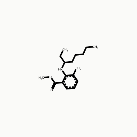 CCCCCC(CC)Nc1c(C)cccc1C(=O)OC